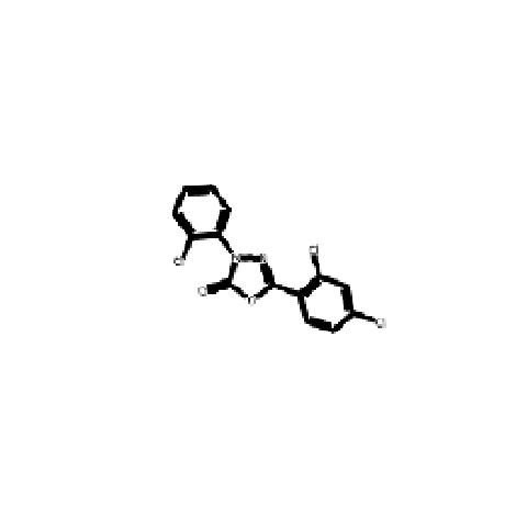 O=c1oc(-c2ccc(Cl)cc2Cl)nn1-c1ccccc1Cl